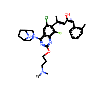 CCN(C)CCCOc1nc(N2CC3CCC(C2)N3)c2cc(Cl)c(/C(C)=C/C(O)=C\c3ccccc3C)c(F)c2n1